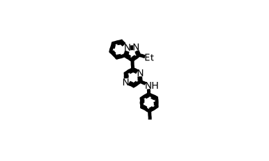 CCc1nn2ccccc2c1-c1cncc(Nc2ccc(C)cc2)n1